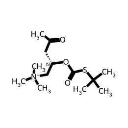 CC(=O)C[C@@H](C[N+](C)(C)C)OC(=O)SC(C)(C)C